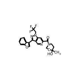 CC1(O)CCN(C(=O)c2cc3c(cn2)c(-c2coc4ccccc24)nn3CC(F)(F)F)CC1